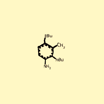 CCCCc1c(N)ccc(C(C)(C)C)c1C